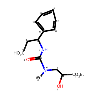 CCOC(=O)C(O)CN(C(=O)NC(CC(=O)O)c1ccccc1)C(C)C